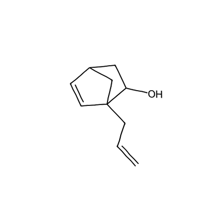 C=CCC12C=CC(CC1O)C2